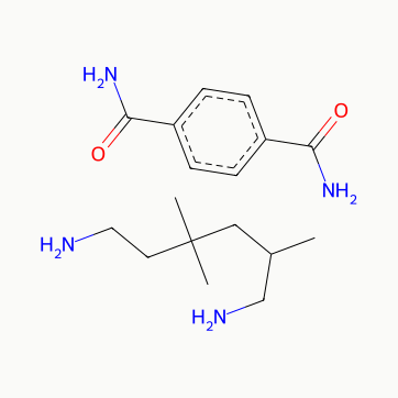 CC(CN)CC(C)(C)CCN.NC(=O)c1ccc(C(N)=O)cc1